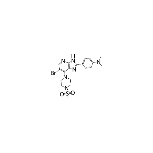 CN(C)c1ccc(-c2nc3c(N4CCN(S(C)(=O)=O)CC4)c(Br)cnc3[nH]2)cc1